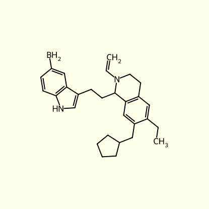 Bc1ccc2[nH]cc(CCC3c4cc(CC5CCCC5)c(CC)cc4CCN3C=C)c2c1